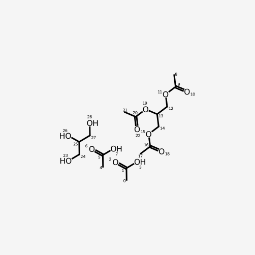 CC(=O)O.CC(=O)O.CC(=O)OCC(COC(C)=O)OC(C)=O.OCC(O)CO